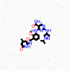 COc1c(Nc2nc(Nc3cnn(C(C)C)c3)ncc2C(N)=O)cccc1-c1nc2[nH]c(=O)cc(C)c2o1